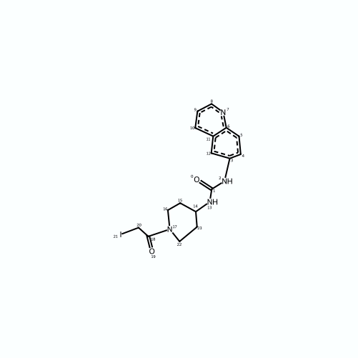 O=C(Nc1ccc2ncccc2c1)NC1CCN(C(=O)CI)CC1